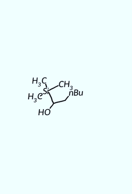 CCCCCC(O)[Si](C)(C)C